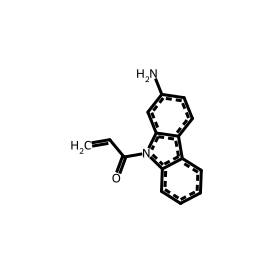 C=CC(=O)n1c2ccccc2c2ccc(N)cc21